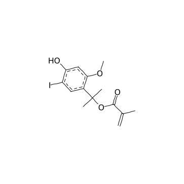 C=C(C)C(=O)OC(C)(C)c1cc(I)c(O)cc1OC